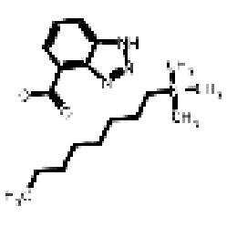 CCCCCCCC[N+](C)(C)C.O=C([O-])c1cccc2[nH]nnc12